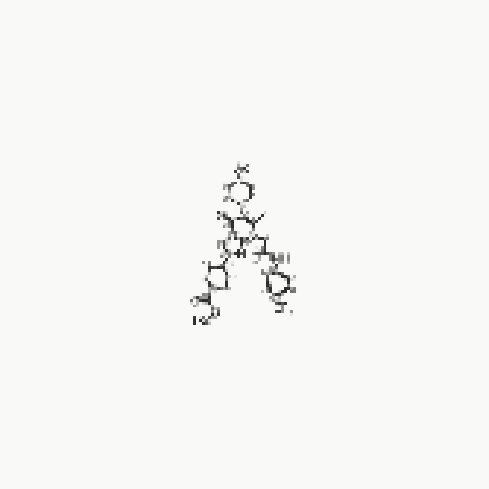 CC(=O)N1CCN(c2c(C)n(CC(=O)Nc3ccc(C(F)(F)F)cc3)c3nc(C4=CCN(C(=O)OC(C)(C)C)CC4)nn3c2=O)CC1